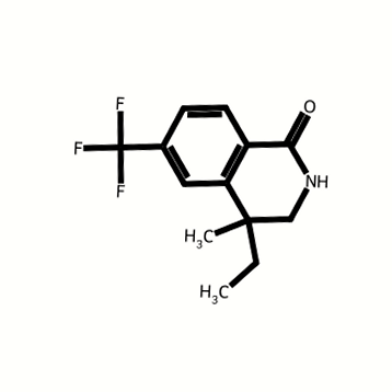 CCC1(C)CNC(=O)c2ccc(C(F)(F)F)cc21